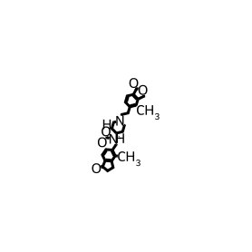 Cc1c(CN2C(=O)O[C@@H]3CN(CCc4ccc5c(c4C)COC5=O)CC[C@H]32)ccc2c1CCC2=O